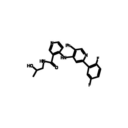 CC(O)CNC(=O)c1cnccc1Nc1cc(-c2cc(F)ccc2F)ncc1C(C)C